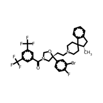 C[C@H]1Cc2ccccc2C12CCN(CC[C@@]1(c3ccc(F)c(Br)c3)CN(C(=O)c3cc(C(F)(F)F)cc(C(F)(F)F)c3)CO1)CC2